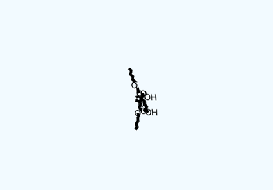 CCCCCCOCCOC(C)C(CCCC(=O)O)(C(=O)O)C(C)OCCOCCCCCC